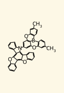 Cc1ccc2c(c1)Oc1cc(-n3c4ccccc4c4c5oc6ccccc6c5c5oc6ccccc6c5c43)cc3c1B2c1ccc(C)cc1O3